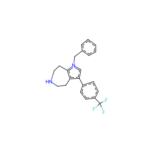 FC(F)(F)c1ccc(-c2cn(Cc3ccccc3)c3c2CCNCC3)cc1